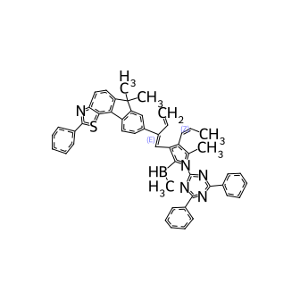 C=C/C(=C\c1c(/C=C\C)c(C)n(-c2nc(-c3ccccc3)nc(-c3ccccc3)n2)c1BC)c1ccc2c(c1)C(C)(C)c1ccc3nc(-c4ccccc4)sc3c1-2